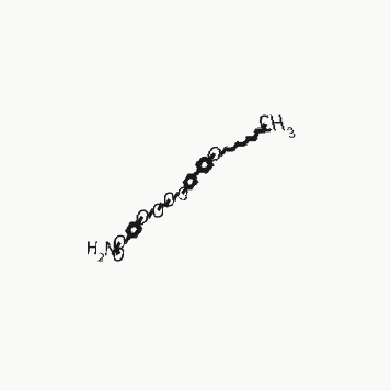 CCCCCCCCCCOc1ccc(-c2ccc(OCCOCCOCCOc3ccc(COC(N)=O)cc3)cc2)cc1